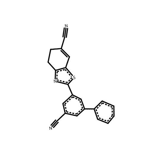 N#CC1=Cc2sc(-c3cc(C#N)cc(-c4ccccc4)c3)nc2CC1